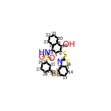 O=S(=O)(Nc1cc(Sc2nc3ccccc3s2)c(O)c2ccccc12)c1cccc(Br)c1